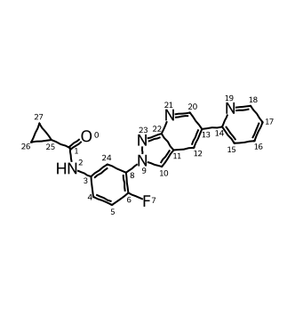 O=C(Nc1ccc(F)c(-n2cc3cc(-c4ccccn4)cnc3n2)c1)C1CC1